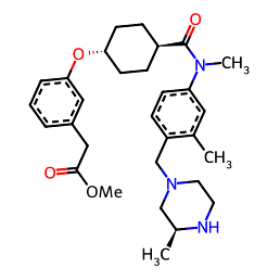 COC(=O)Cc1cccc(O[C@H]2CC[C@H](C(=O)N(C)c3ccc(CN4CCN[C@@H](C)C4)c(C)c3)CC2)c1